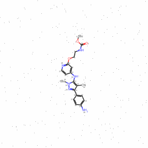 CC(C)(C)OC(=O)NCCOc1cc(Nc2c(C#N)c(-c3ccc(N)cc3)nn2C(C)(C)C)ccn1